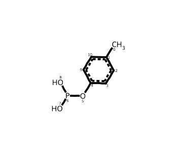 Cc1ccc(OP(O)O)cc1